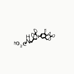 CN1C(=O)OCc2cc(N3CC(CNC(=O)O)OC3=O)cc(F)c21